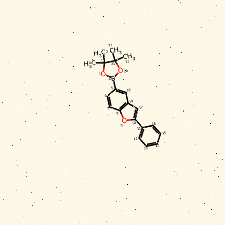 CC1(C)OB(c2ccc3oc(-c4ccccc4)cc3c2)OC1(C)C